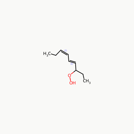 CC/C=C\C=C\C(CC)OO